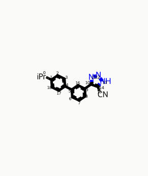 CC(C)c1ccc(-c2cccc(-c3nn[nH]c3C#N)c2)cc1